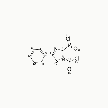 O=C(Cl)c1nc(-c2ccccc2)sc1C(=O)Cl